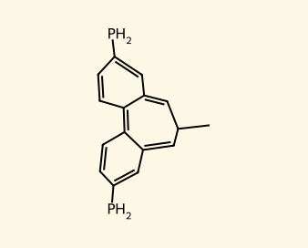 CC1C=c2cc(P)ccc2=c2ccc(P)cc2=C1